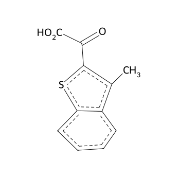 Cc1c(C(=O)C(=O)O)sc2ccccc12